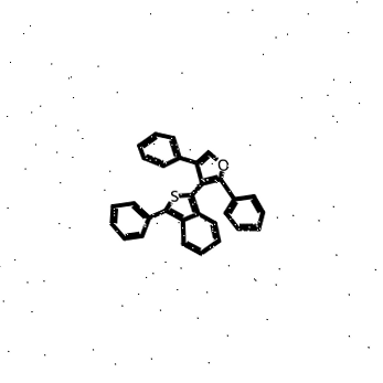 c1ccc(-c2coc(-c3ccccc3)c2-c2sc(-c3ccccc3)c3ccccc23)cc1